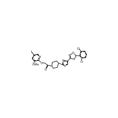 COc1cc(I)cnc1OCC(=O)N1CCC(c2nc(C3=NOC(c4c(Cl)cccc4Cl)C3)cs2)CC1